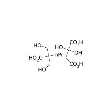 CCCC(CO)(CO)C(=O)O.O=C(O)CC(O)(O)C(=O)O